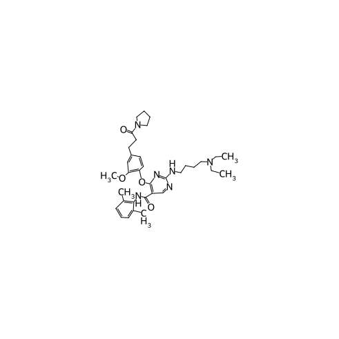 CCN(CC)CCCCNc1ncc(C(=O)Nc2c(C)cccc2C)c(Oc2ccc(CCC(=O)N3CCCC3)cc2OC)n1